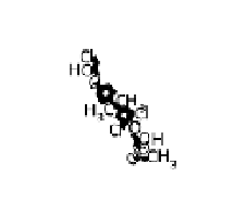 CCS(=O)(=O)C[C@H](O)COc1c(Cl)cc(C(C)(C)c2ccc(OC[C@H](O)CCl)cc2)cc1Cl